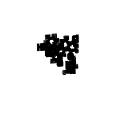 Cn1ncc(COc2ccc(Cl)c3c2C(CN2CC4(CC4)CC2=O)N(C(=O)[C@@H]2CCCC[C@]2(C)C(=O)O)CC3)n1